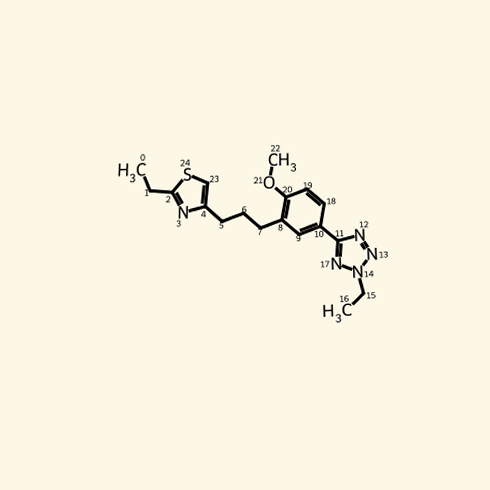 CCc1nc(CCCc2cc(-c3nnn(CC)n3)ccc2OC)cs1